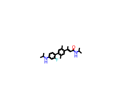 C/C(=C\C(=O)NC(C)C)c1cc(C)c(-c2ccc(NC(C)C)cc2F)cc1C